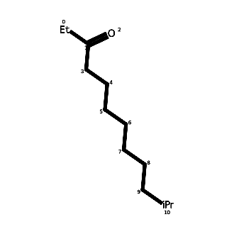 [CH2]CC(=O)CCCCCCCC(C)C